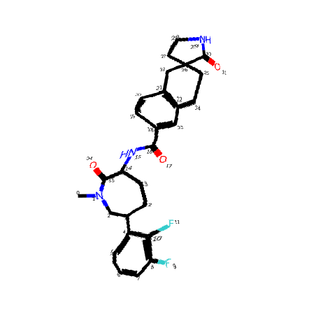 CN1CC(c2cccc(F)c2F)CCC(NC(=O)c2ccc3c(c2)CCC2(CCNC2=O)C3)C1=O